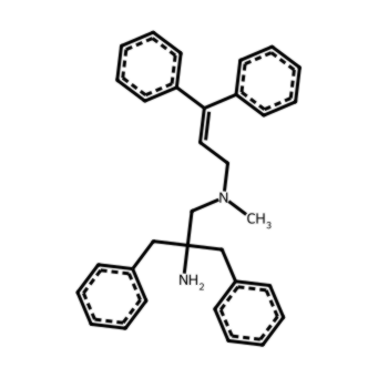 CN(CC=C(c1ccccc1)c1ccccc1)CC(N)(Cc1ccccc1)Cc1ccccc1